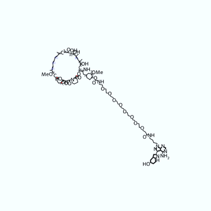 CO[C@H]1C[C@@H]2CC[C@@H](C)[C@@](O)(O2)C(=O)C(=O)N2CCCC[C@H]2C(=O)O[C@H]([C@H](N)C[C@@H]2CC[C@@H](OC(=O)NCCOCCOCCOCCOCCOCCOCCOCCOCCC(=O)NCCCCn3nc(-c4cc5cc(O)ccc5[nH]4)c4c(N)ncnc43)[C@H](OC)C2)C[C@@H](O)[C@H](C)/C=C(\C)[C@@H](O)[C@@H](O)C(=O)[C@H](C)C[C@H](C)/C=C/C=C/C=C/1C